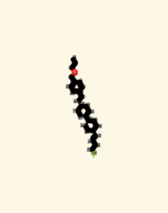 CCCOCc1ccc(CC[C@H]2CC[C@H]([C@H]3CC[C@H](C=CCCF)CC3)CC2)cc1